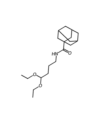 CCOC(CCCNC(=O)C12CC3CC(CC(C3)C1)C2)OCC